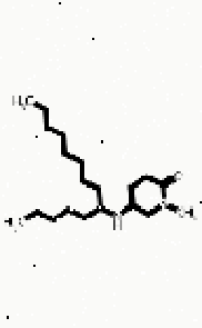 CCCCCCCCC(CCCCC)NC1CCC(=O)N(C)C1